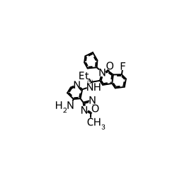 CC[C@H](Nc1nccc(N)c1-c1noc(C)n1)c1cc2cccc(F)c2c(=O)n1-c1ccccc1